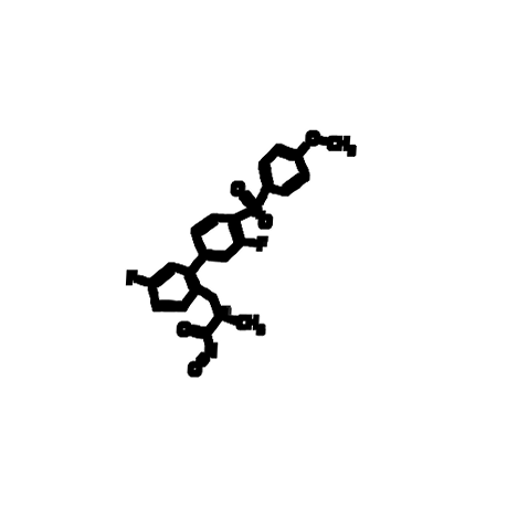 COc1ccc(S(=O)(=O)c2ccc(-c3cc(F)ccc3C[C@@H](C)C(=O)N=O)cc2F)cc1